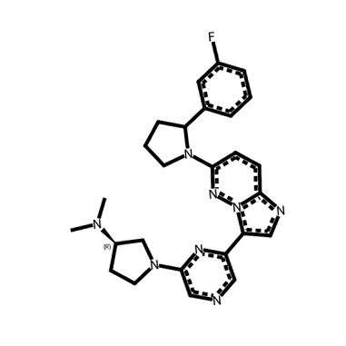 CN(C)[C@@H]1CCN(c2cncc(-c3cnc4ccc(N5CCCC5c5cccc(F)c5)nn34)n2)C1